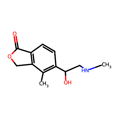 CNCC(O)c1ccc2c(c1C)COC2=O